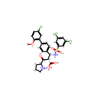 COc1ccc(F)cc1-c1ccc([C@H](NS(=O)(=O)c2cc(Cl)cc(Cl)c2)[C@H](C(=O)O)C(=O)C2CCCN2)cc1